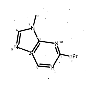 CCCc1n[c]c2ncn(C)c2n1